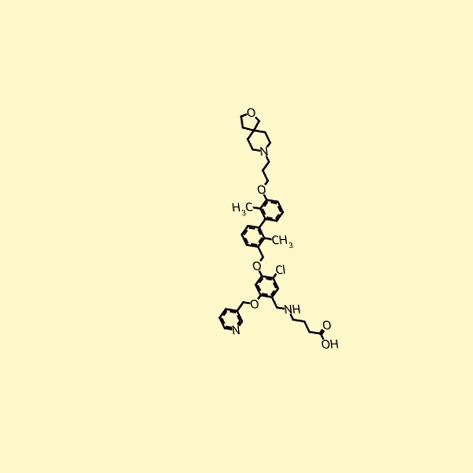 Cc1c(COc2cc(OCc3cccnc3)c(CNCCCC(=O)O)cc2Cl)cccc1-c1cccc(OCCCN2CCC3(CCOC3)CC2)c1C